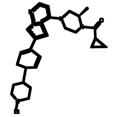 CCN1CCC(C2C=CC(c3cc4c(N5CCN(C(=O)C6CC6)[C@H](C)C5)ccnn4c3)=CC2)CC1